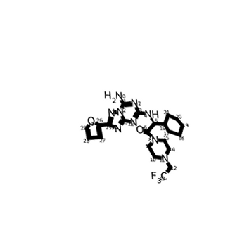 Nc1nc(N[C@H](C(=O)N2CCN(CC(F)(F)F)CC2)C2CCCCC2)nc2nc(-c3ccco3)nn12